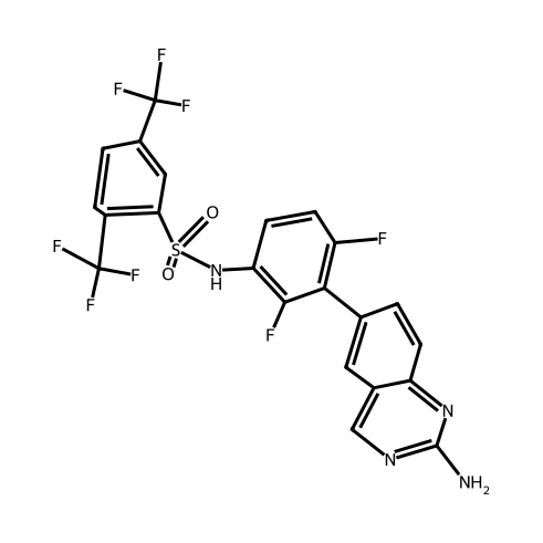 Nc1ncc2cc(-c3c(F)ccc(NS(=O)(=O)c4cc(C(F)(F)F)ccc4C(F)(F)F)c3F)ccc2n1